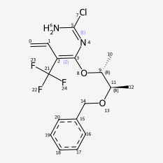 C=C/C(=C(\N=C(/N)Cl)O[C@H](C)[C@@H](C)OCc1ccccc1)C(F)(F)F